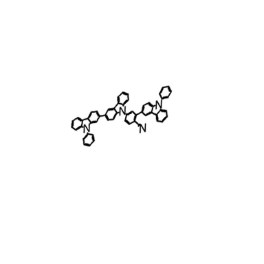 N#Cc1ccc(-n2c3ccccc3c3cc(-c4ccc5c6ccccc6n(-c6ccccc6)c5c4)ccc32)cc1-c1ccc2c(c1)c1ccccc1n2-c1ccccc1